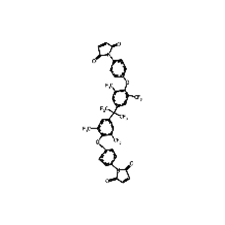 O=C1C=CC(=O)N1c1ccc(Oc2c(C(F)(F)F)cc(C(c3cc(C(F)(F)F)c(Oc4ccc(N5C(=O)C=CC5=O)cc4)c(C(F)(F)F)c3)(C(F)(F)F)C(F)(F)F)cc2C(F)(F)F)cc1